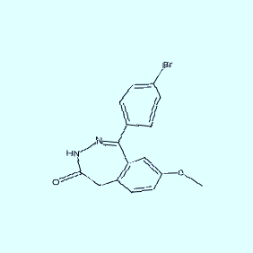 COc1ccc2c(c1)C(c1ccc(Br)cc1)=NNC(=O)C2